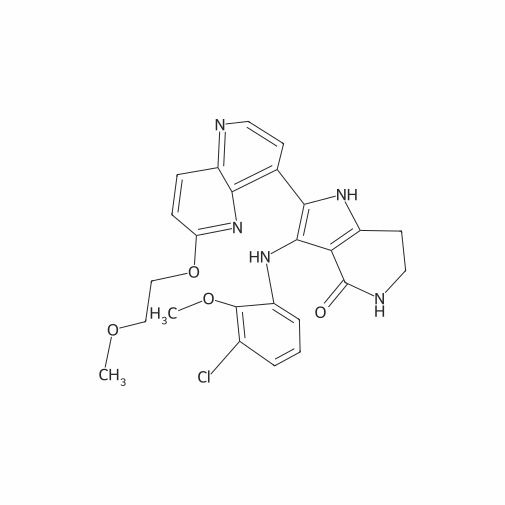 COCCOc1ccc2nccc(-c3[nH]c4c(c3Nc3cccc(Cl)c3OC)C(=O)NCC4)c2n1